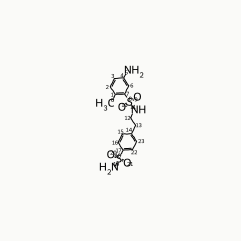 Cc1ccc(N)cc1S(=O)(=O)NCCc1ccc(S(N)(=O)=O)cc1